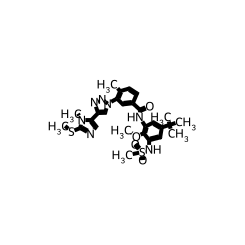 COc1c(NC(=O)c2ccc(C)c(-n3cc(-c4cnc(SC)n4C)nn3)c2)cc(C(C)(C)C)cc1NS(C)(=O)=O